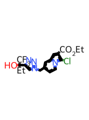 CCOC(=O)c1cc2cc(Cn3cc(C(O)(CC)C(F)(F)F)nn3)ccn2c1Cl